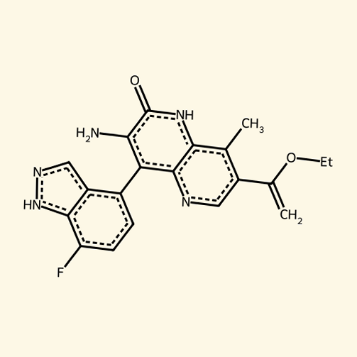 C=C(OCC)c1cnc2c(-c3ccc(F)c4[nH]ncc34)c(N)c(=O)[nH]c2c1C